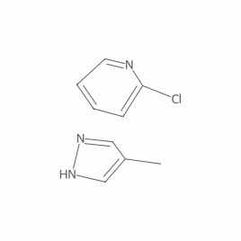 Cc1cn[nH]c1.Clc1ccccn1